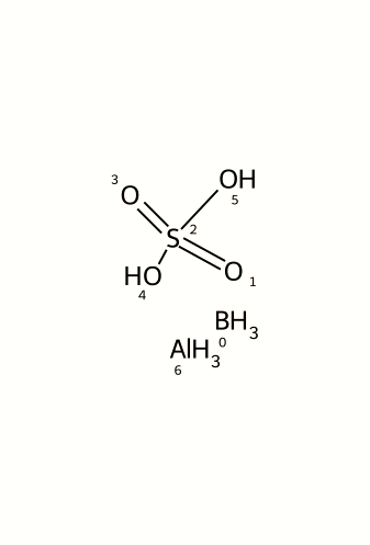 B.O=S(=O)(O)O.[AlH3]